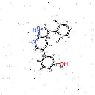 Cc1cccc(C)c1-c1c[nH]c2ncc(-c3cccc(O)c3)cc12